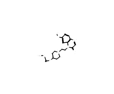 CC(C)(C)OC(=O)NC1CCN(CCn2c(=O)cnc3ccc(OC(F)(F)F)cc32)CC1